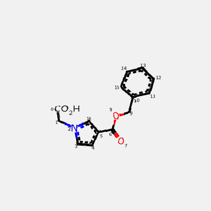 O=C(O)Cn1ccc(C(=O)OCc2ccccc2)c1